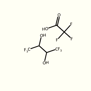 O=C(O)C(F)(F)F.OC(C(O)C(F)(F)F)C(F)(F)F